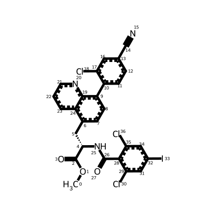 COC(=O)[C@H](Cc1ccc(-c2ccc(C#N)cc2Cl)c2ncccc12)NC(=O)c1c(Cl)cc(I)cc1Cl